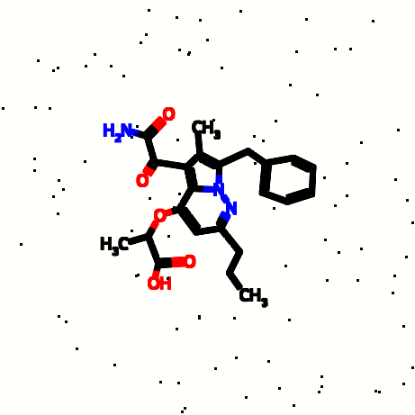 CCCc1cc(OC(C)C(=O)O)c2c(C(=O)C(N)=O)c(C)c(Cc3ccccc3)n2n1